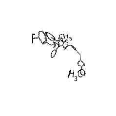 COc1ccc(CC#Cc2cc3c(=O)n(Cc4cccc(F)c4)c(=O)n(C)c3s2)cc1